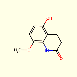 COc1ccc(O)c2c1NC(=O)CC2